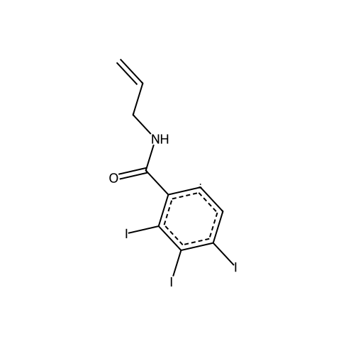 C=CCNC(=O)c1[c]cc(I)c(I)c1I